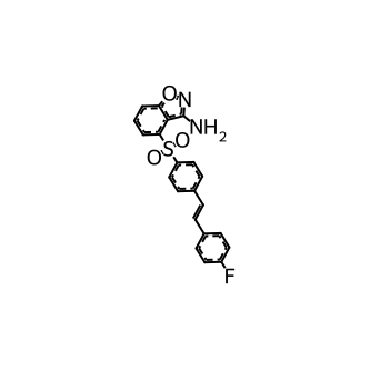 Nc1noc2cccc(S(=O)(=O)c3ccc(C=Cc4ccc(F)cc4)cc3)c12